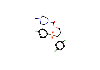 C[C@H](COC(=O)N1CCN(C)CC1)[C@@H](c1cc(F)ccc1F)S(=O)(=O)c1ccc(Cl)cc1